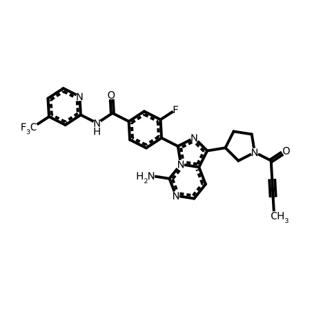 CC#CC(=O)N1CCC(c2nc(-c3ccc(C(=O)Nc4cc(C(F)(F)F)ccn4)cc3F)n3c(N)nccc23)C1